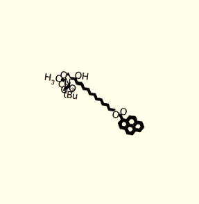 CC(C)(C)OC(=O)N1[C@H]([C@H](O)/C=C/CCCCCCCCCCOC(=O)c2ccc3ccc4cccc5ccc2c3c45)COC1(C)C